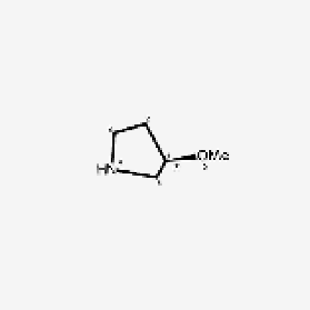 CO[C@@H]1CCNC1